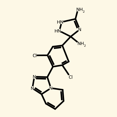 NC1=NC(N)(c2cc(Cl)c(-c3nnc4ccccn34)c(Cl)c2)NN1